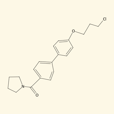 O=C(c1ccc(-c2ccc(OCCCCl)cc2)cc1)N1CCCC1